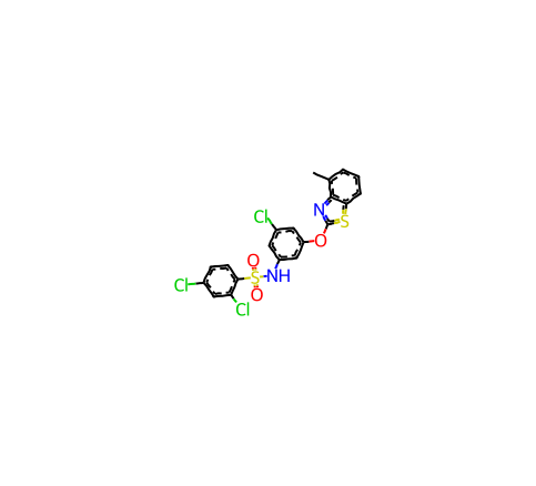 Cc1cccc2sc(Oc3cc(Cl)cc(NS(=O)(=O)c4ccc(Cl)cc4Cl)c3)nc12